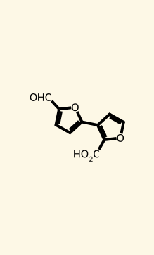 O=Cc1ccc(-c2ccoc2C(=O)O)o1